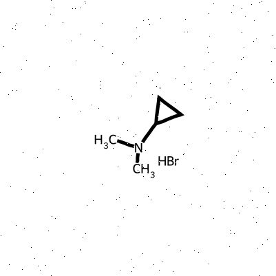 Br.CN(C)C1CC1